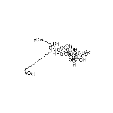 CCCCCCCC/C=C\CCCCCCCCCCCCCCCC(=O)N[C@@H](CO[C@@H]1OC(CO)[C@@H](O[C@@H]2OC(CO)[C@H](O)[C@H](O[C@@H]3OC(CO)[C@@H](O)[C@H](O)C3NC(C)=O)C2O)[C@H](O)C1O)[C@H](O)/C=C/CCCCCCCCCCCCC